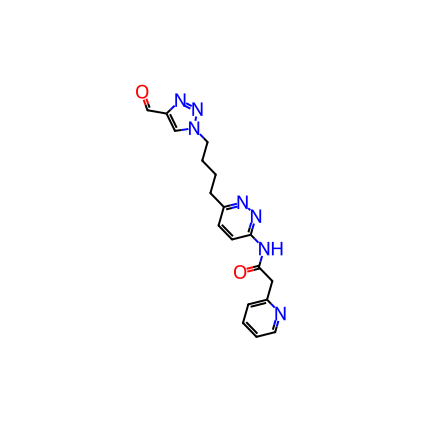 O=Cc1cn(CCCCc2ccc(NC(=O)Cc3ccccn3)nn2)nn1